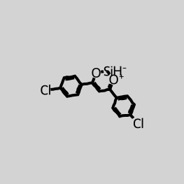 Clc1ccc(C2=CC(c3ccc(Cl)cc3)=[O+][SiH-]O2)cc1